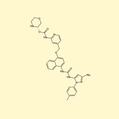 Cc1ccc(-n2nc(C(C)(C)C)cc2NC(=O)Nc2ccc(OCc3ccnc(NC(=O)O[C@H]4COCCN4)c3)c3ccccc23)cc1